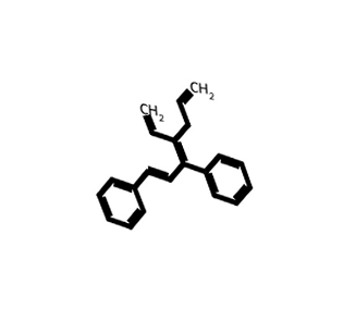 C=CCC(C=C)=C(C=Cc1ccccc1)c1ccccc1